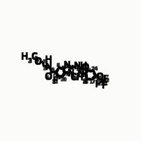 COCCNC(=O)c1cc2nc(Nc3nc4ccc(OC(F)(F)F)cc4o3)n(C)c2cc1F